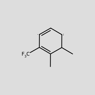 CC1=C(C(F)(F)F)[C]=C[C]C1C